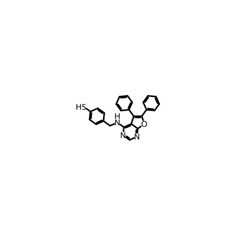 Sc1ccc(CNc2ncnc3oc(-c4ccccc4)c(-c4ccccc4)c23)cc1